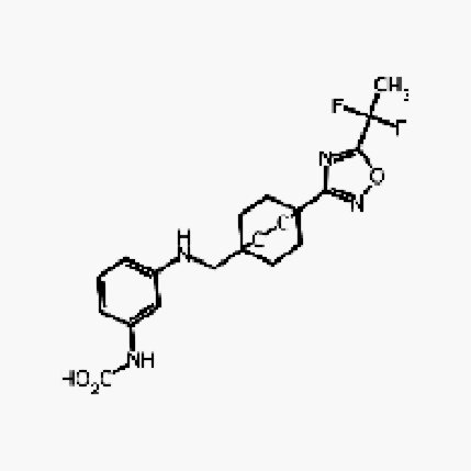 CC(F)(F)c1nc(C23CCC(CNc4cccc(NC(=O)O)c4)(CC2)CC3)no1